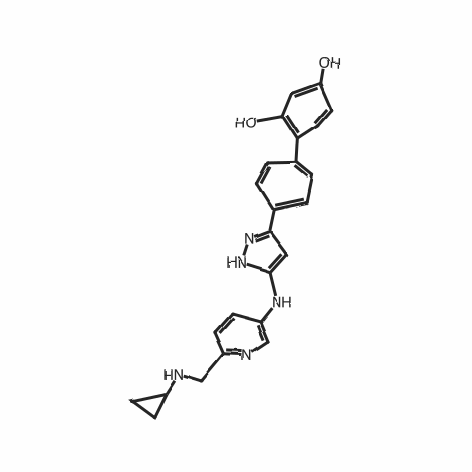 Oc1ccc(-c2ccc(-c3cc(Nc4ccc(CNC5CC5)nc4)[nH]n3)cc2)c(O)c1